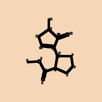 COC(=O)C1CCCN1C1=CCC(C)C1=O